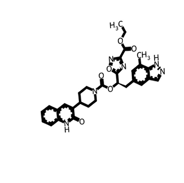 CCOC(=O)c1noc([C@@H](Cc2cc(C)c3[nH]ncc3c2)OC(=O)N2CCC(c3cc4ccccc4[nH]c3=O)CC2)n1